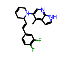 Cc1c(N2CC=CCC2C=Cc2ccc(F)c(F)c2)cnc2[nH]ccc12